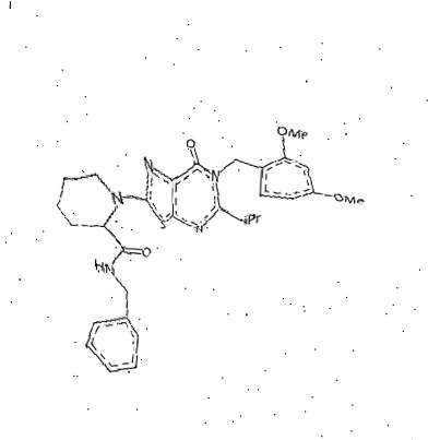 COc1ccc(Cn2c(C(C)C)nc3sc(N4CCCCC4C(=O)NCc4ccccc4)nc3c2=O)c(OC)c1